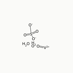 O.O.O=S(=O)([O-])[O-].[O]=[V+2]